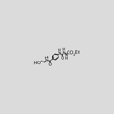 CCOC(=O)NNC(=O)Nc1ccc(C(=O)NCCO)cc1